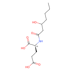 CCCCC(O)CC(=O)N[C@@H](CCC(=O)O)C(=O)O